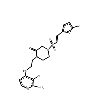 Nc1nccc(NCCN2CCN(S(=O)(=O)/C=C/c3ccc(Cl)s3)CC2=O)c1Cl